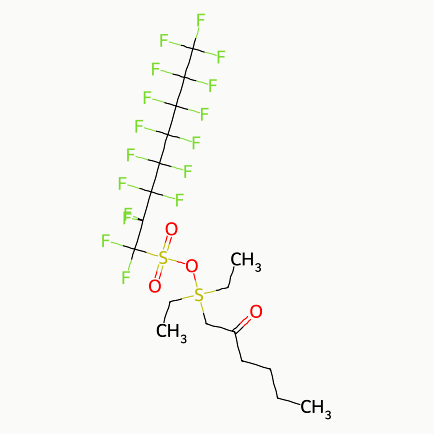 CCCCC(=O)CS(CC)(CC)OS(=O)(=O)C(F)(F)C(F)(F)C(F)(F)C(F)(F)C(F)(F)C(F)(F)C(F)(F)C(F)(F)F